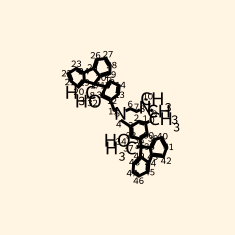 Cc1cc(CN(CCN(C)C)Cc2cccc(C3(C)c4ccccc4-c4ccccc43)c2O)c(O)c(C2(C)c3ccccc3-c3ccccc32)c1